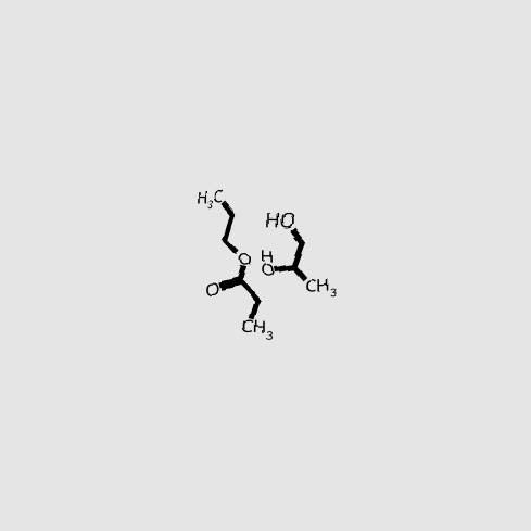 CC(O)CO.CCCOC(=O)CC